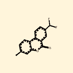 Cc1ccc2c(c1)oc(=O)c1cc(C(F)F)ccc12